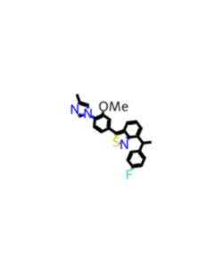 COc1cc(-c2snc3c(C(C)c4ccc(F)cc4)cccc23)ccc1-n1cnc(C)c1